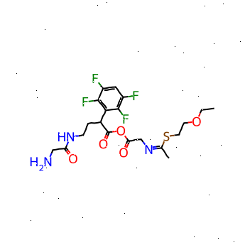 CCOCCSC(C)=NCC(=O)OC(=O)C(CCNC(=O)CN)c1c(F)c(F)cc(F)c1F